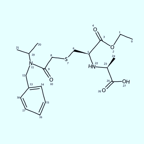 CCOC(=O)[C@H](CSCC(=O)N(Cc1ccccc1)C(C)C)N[C@@H](C)C(=O)O